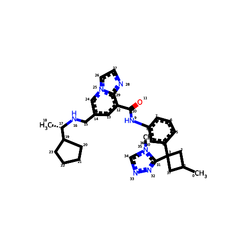 CC1CC(c2cccc(NC(=O)c3cc(CN[C@@H](C)C4CCCC4)cn4ccnc34)c2)(c2nncn2C)C1